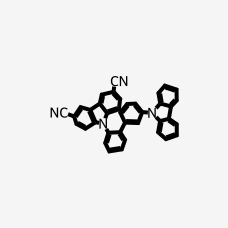 N#Cc1ccc2c(c1)c1cc(C#N)ccc1n2-c1ccccc1-c1cccc(-n2c3ccccc3c3ccccc32)c1